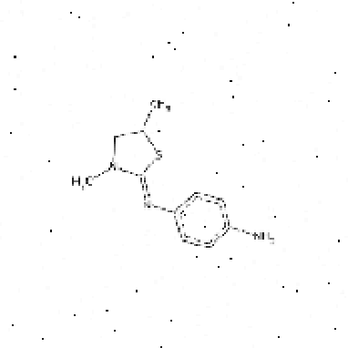 CC1CN(C)C(=Nc2ccc(N)cc2)S1